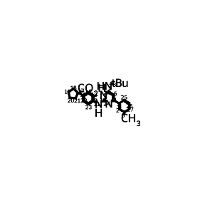 CC1C=C(c2cc(NC(C)(C)C)nc(Nc3ccc(C4(C(=O)O)CCCC4)cc3)n2)C=CC1